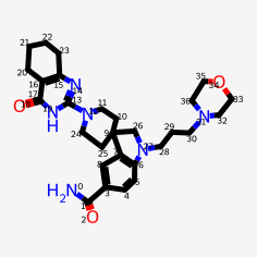 NC(=O)c1ccc2c(c1)C1(CCN(c3nc4c(c(=O)[nH]3)CCCC4)CC1)CN2CCCN1CCOCC1